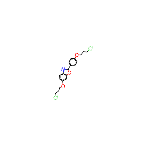 ClCCCOc1ccc(-c2nc3ccc(OCCCCl)cc3o2)cc1